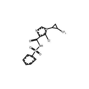 O=C(NS(=O)(=O)c1ccccc1)c1ncn(C2CC2C(F)(F)F)c1Cl